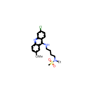 CCN(CCCCNc1c2ccc(Cl)cc2nc2ccc(OC)cc12)S(C)(=O)=O